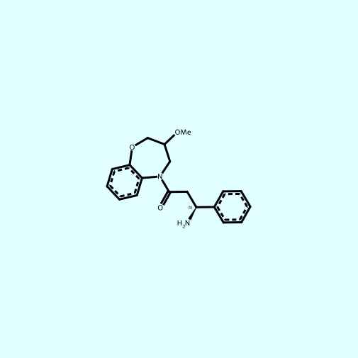 COC1COc2ccccc2N(C(=O)C[C@H](N)c2ccccc2)C1